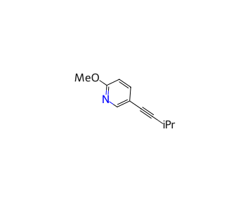 COc1ccc(C#CC(C)C)cn1